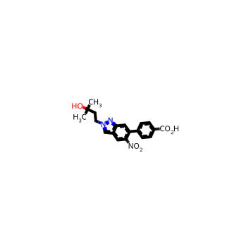 CC(C)(O)CCn1cc2cc([N+](=O)[O-])c(-c3ccc(C(=O)O)cc3)cc2n1